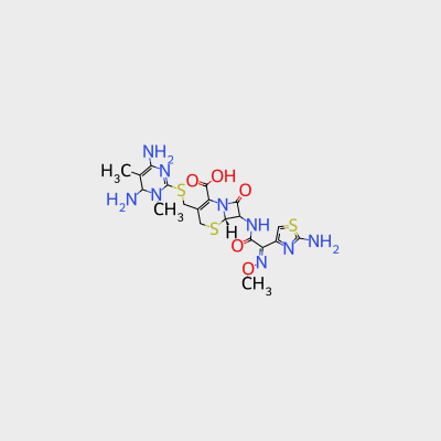 CO/N=C(\C(=O)NC1C(=O)N2C(C(=O)O)=C(CSC3=NC(N)=C(C)C(N)N3C)CS[C@@H]12)c1csc(N)n1